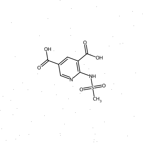 CS(=O)(=O)Nc1ncc(C(=O)O)cc1C(=O)O